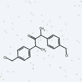 CC(C(=O)C(C)c1ccc(CCl)cc1)c1ccc(CCl)cc1